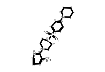 O=S(=O)(c1ccc(N2CCCCC2)cc1)N1CCN(c2ncccc2C(F)(F)F)CC1